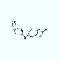 O=C(Nc1ccc(F)cc1)Nc1ccc(OC(F)(F)F)cc1